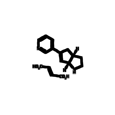 C1=C(c2cccnc2)C[C@@H]2CCN[C@H]12.O=C(O)C=CC(=O)O